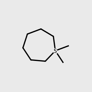 CS1(C)CCCCCC1